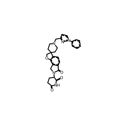 O=C1CCC(N2Cc3c(ccc4c3OCC43CCN(Cc4ccn(-c5ccccc5)n4)CC3)C2=O)C(=O)N1